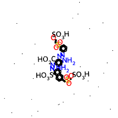 Nc1cc(N)c(/N=N\c2ccc3cc(CS(=O)(=O)COS(=O)(=O)O)ccc3c2S(=O)(=O)O)c(C(=O)O)c1N=Nc1cccc(S(=O)(=O)CCOS(=O)(=O)O)c1